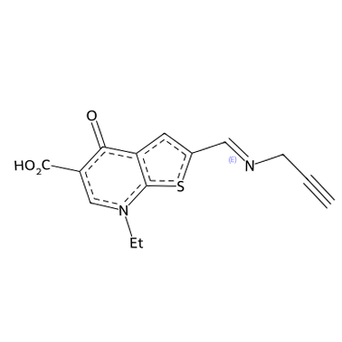 C#CC/N=C/c1cc2c(=O)c(C(=O)O)cn(CC)c2s1